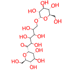 O=C(C(O)C(O)C(O)C(O)CO[C@H]1O[C@H](CO)[C@@H](O)[C@H](O)[C@H]1O)[C@H]1O[C@H](CO)[C@@H](O)[C@H](O)[C@H]1O